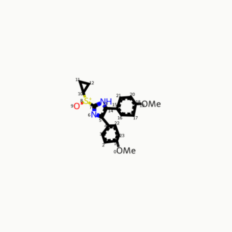 COc1ccc(-c2nc([S+]([O-])C3CC3)[nH]c2-c2ccc(OC)cc2)cc1